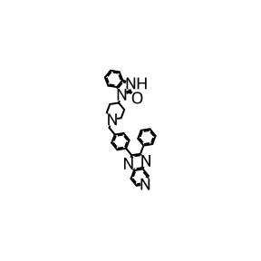 O=c1[nH]c2ccccc2n1C1CCN(Cc2ccc(-c3nc4ccncc4nc3-c3ccccc3)cc2)CC1